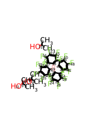 CC(C)O.CC(C)O.CC(C)O.Fc1c(F)c(F)c([B-](c2c(F)c(F)c(F)c(F)c2F)(c2c(F)c(F)c(F)c(F)c2F)c2c(F)c(F)c(F)c(F)c2F)c(F)c1F